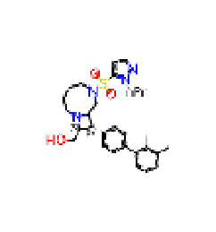 CCCn1nccc1S(=O)(=O)N1CCCCN2C(C1)[C@H](c1ccc(-c3cccc(C)c3C)cc1)[C@H]2CO